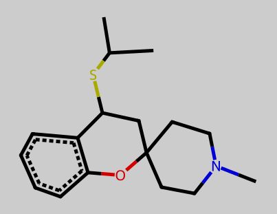 CC(C)SC1CC2(CCN(C)CC2)Oc2ccccc21